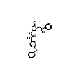 O=C(Nc1ccc(Nc2ccccc2)cc1)OC1CC(=O)N(CC(O)c2ccccc2)C1